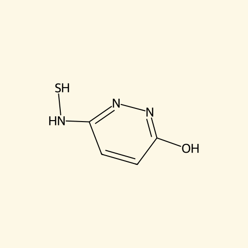 Oc1ccc(NS)nn1